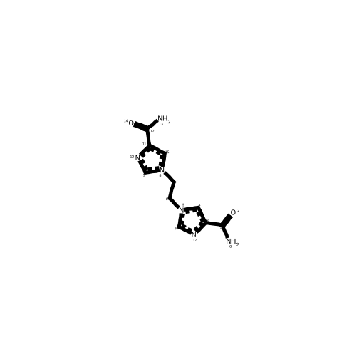 NC(=O)c1cn([CH]Cn2cnc(C(N)=O)c2)cn1